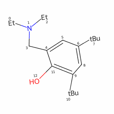 CCN(CC)Cc1cc(C(C)(C)C)cc(C(C)(C)C)c1O